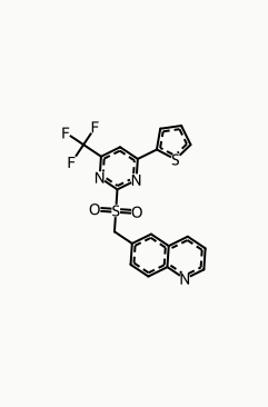 O=S(=O)(Cc1ccc2ncccc2c1)c1nc(-c2cccs2)cc(C(F)(F)F)n1